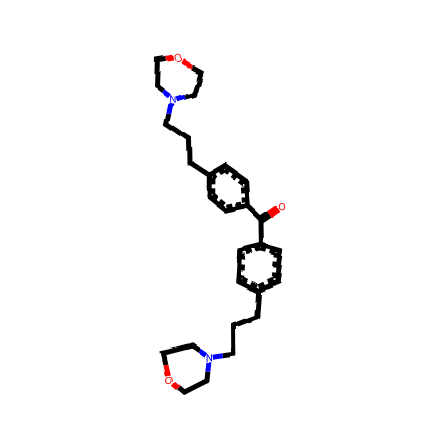 O=C(c1ccc(CCCN2CCOCC2)cc1)c1ccc(CCCN2CCOCC2)cc1